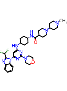 CN1CCC(N2CCC(C(=O)N[C@H]3CC[C@H](Nc4cc(-n5c(C(F)F)nc6ccccc65)nc(N5CCOCC5)n4)CC3)CC2)CC1